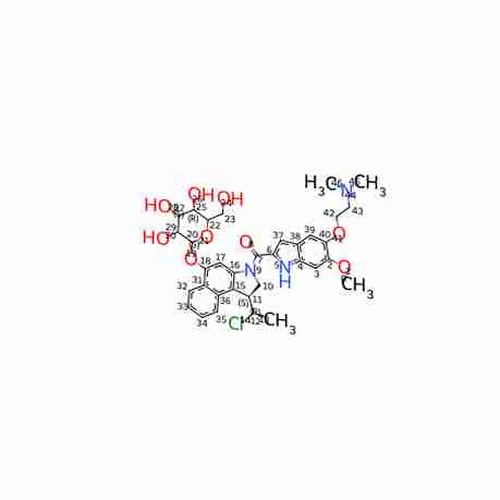 COc1cc2[nH]c(C(=O)N3C[C@@H]([C@@H](C)Cl)c4c3cc(O[C@@H]3OC(CO)[C@H](O)[C@H](O)C3O)c3ccccc43)cc2cc1OCCN(C)C